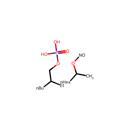 CCCCC(CC)COP(=O)(O)O.CCCCCCC(C)ON=O